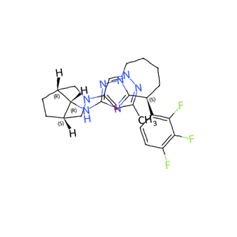 Cc1cc(N2C[C@H]3CC[C@@H](C2)[C@H]3Nc2nc3n(n2)CCCC[C@H]3c2ccc(F)c(F)c2F)cnn1